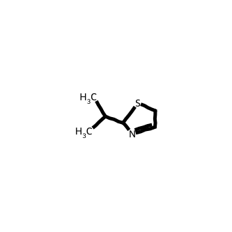 CC(C)C1N=CCS1